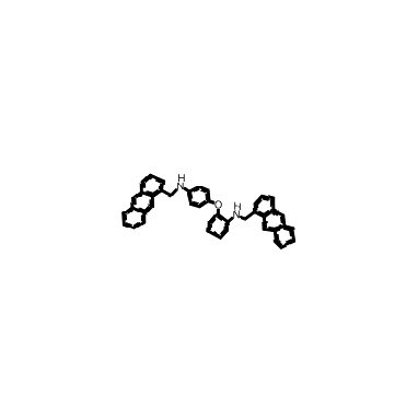 c1ccc(Oc2ccc(NCc3cccc4cc5ccccc5cc34)cc2)c(NCc2cccc3cc4ccccc4cc23)c1